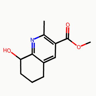 COC(=O)c1cc2c(nc1C)C(O)CCC2